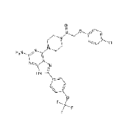 Nc1nc(N2CCN(C(=O)COc3ccc(Cl)cc3)CC2)c2nc(-c3ccc(OC(F)(F)F)cc3)[nH]c2n1